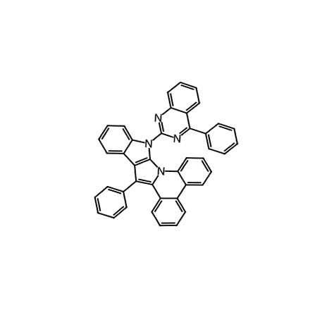 c1ccc(-c2nc(-n3c4ccccc4c4c(-c5ccccc5)c5c6ccccc6c6ccccc6n5c43)nc3ccccc23)cc1